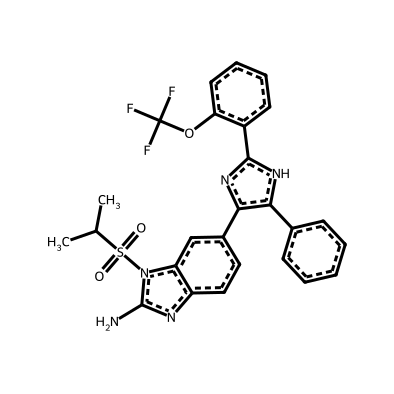 CC(C)S(=O)(=O)n1c(N)nc2ccc(-c3nc(-c4ccccc4OC(F)(F)F)[nH]c3-c3ccccc3)cc21